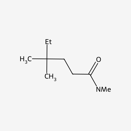 CCC(C)(C)CCC(=O)NC